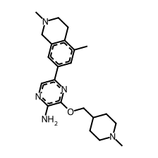 Cc1cc(-c2cnc(N)c(OCC3CCN(C)CC3)n2)cc2c1CCN(C)C2